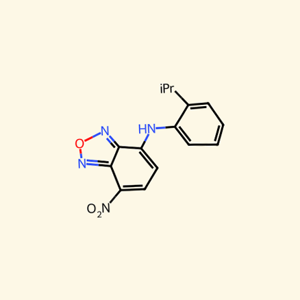 CC(C)c1ccccc1Nc1ccc([N+](=O)[O-])c2nonc12